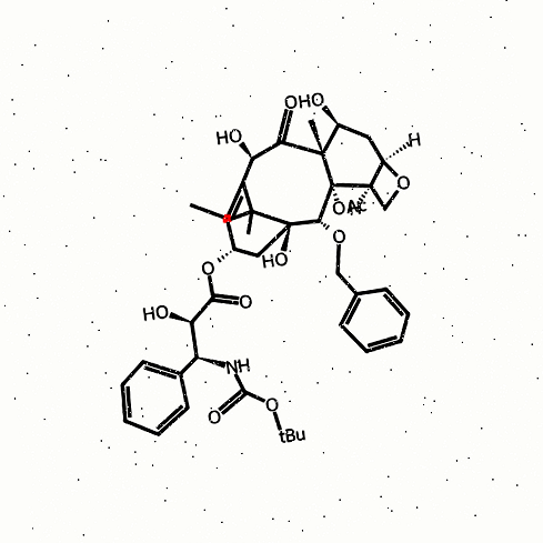 CC(=O)O[C@@]12[C@@H]3CO[C@@H]3C[C@H](O)[C@@]1(C)C(=O)[C@H](O)C1=C(C)[C@@H](OC(=O)[C@H](O)[C@@H](NC(=O)OC(C)(C)C)c3ccccc3)C[C@@](O)([C@H]2OCc2ccccc2)C1(C)C